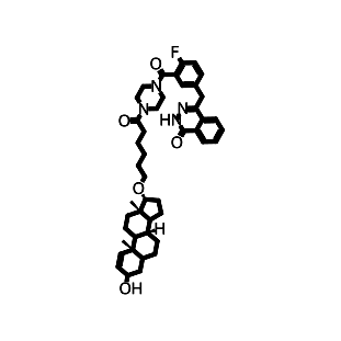 C[C@]12C=CC(O)CC1CC[C@@H]1C2CC[C@@]2(C)C1CC[C@@H]2OCCCCCC(=O)N1CCN(C(=O)c2cc(Cc3n[nH]c(=O)c4ccccc34)ccc2F)CC1